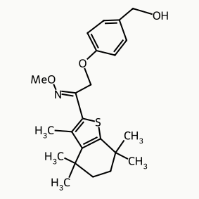 CON=C(COc1ccc(CO)cc1)c1sc2c(c1C)C(C)(C)CCC2(C)C